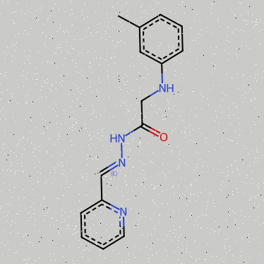 Cc1cccc(NCC(=O)N/N=C/c2ccccn2)c1